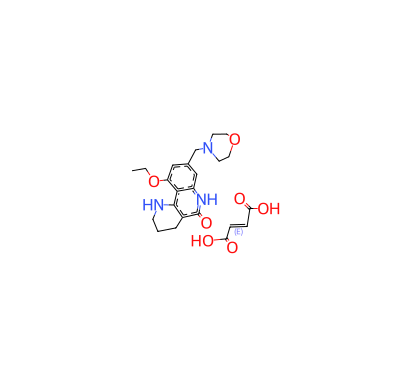 CCOc1cc(CN2CCOCC2)cc2[nH]c(=O)c3c(c12)NCCC3.O=C(O)/C=C/C(=O)O